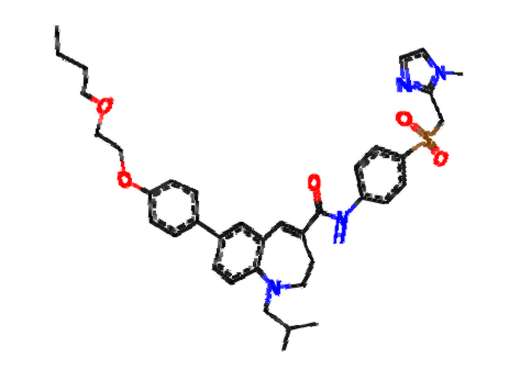 CCCCOCCOc1ccc(-c2ccc3c(c2)C=C(C(=O)Nc2ccc(S(=O)(=O)Cc4nccn4C)cc2)CCN3CC(C)C)cc1